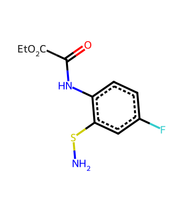 CCOC(=O)C(=O)Nc1ccc(F)cc1SN